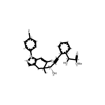 CCC1=Cc2c(cnn2-c2ccc(F)cc2)CC1(C)[C@@H](O)C#Cc1ccccc1C(O)C(=O)OC